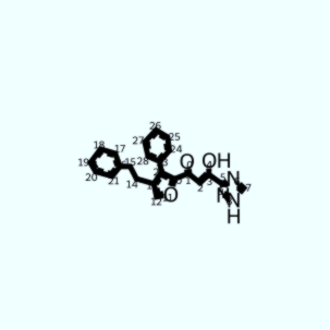 O=C(C=C(O)c1nc[nH]n1)c1occ(CCc2ccccc2)c1-c1ccccc1